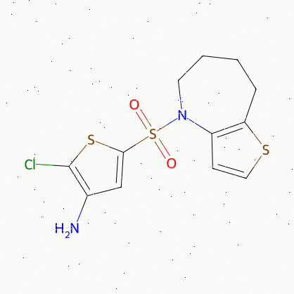 Nc1cc(S(=O)(=O)N2CCCCc3sccc32)sc1Cl